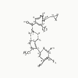 Cn1nc2c(c1-c1cc(F)c(F)c(F)c1)CCN(C(=O)c1cnn(C3CC3)c1C(F)(F)F)C2